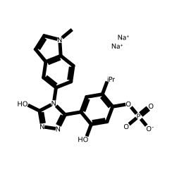 CC(C)c1cc(-c2nnc(O)n2-c2ccc3c(ccn3C)c2)c(O)cc1OP(=O)([O-])[O-].[Na+].[Na+]